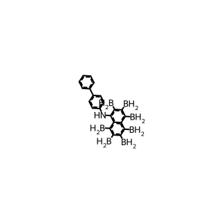 Bc1c(B)c(B)c2c(Nc3ccc(-c4ccccc4)cc3)c(B)c(B)c(B)c2c1B